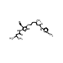 CC(C)CC(=O)Nc1n[nH]c(SCC[C@H](C)CC(=O)Nc2ccn(C)n2)c1C#N